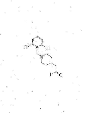 O=C(I)CC1CCN(Cc2c(Cl)cccc2Cl)CC1